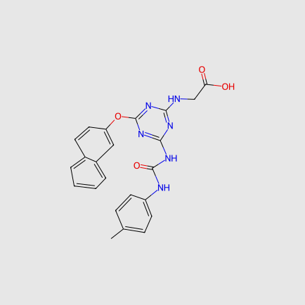 Cc1ccc(NC(=O)Nc2nc(NCC(=O)O)nc(Oc3ccc4ccccc4c3)n2)cc1